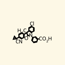 CC1(c2ccc(C3(C#N)CC3)cc2)C(=O)N(c2cccc(C(=O)O)c2)c2ccc(Cl)cc21